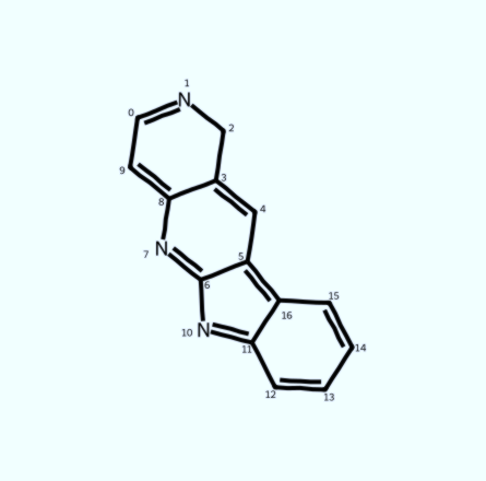 C1=NCc2cc3c(nc2=C1)N=c1ccccc1=3